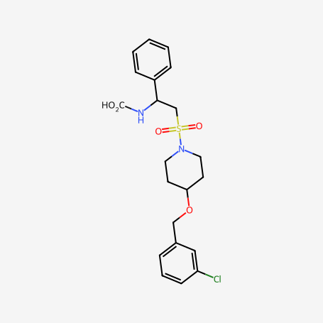 O=C(O)NC(CS(=O)(=O)N1CCC(OCc2cccc(Cl)c2)CC1)c1ccccc1